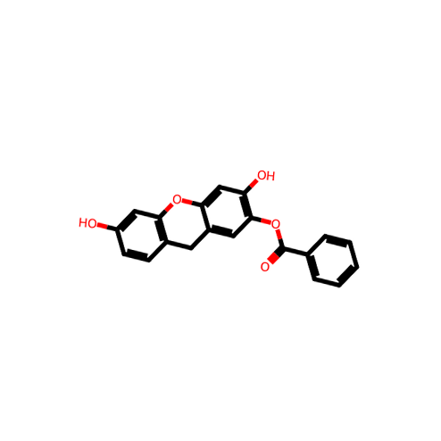 O=C(Oc1cc2c(cc1O)Oc1cc(O)ccc1C2)c1ccccc1